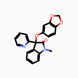 CN1C(=O)C(Oc2ccc3c(c2)OCO3)(c2ccccn2)c2ccccc21